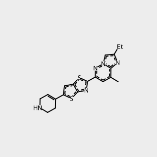 CCc1cn2nc(-c3nc4sc(C5=CCNCC5)cc4s3)cc(C)c2n1